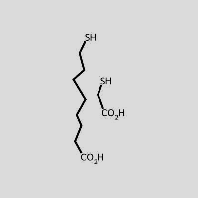 O=C(O)CCCCCCCS.O=C(O)CS